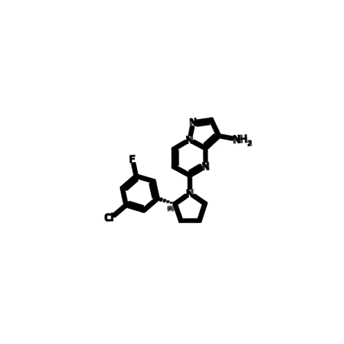 Nc1cnn2ccc(N3CCC[C@@H]3c3cc(F)cc(Cl)c3)nc12